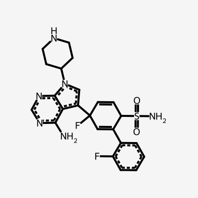 Nc1ncnc2c1c(C1(F)C=CC(S(N)(=O)=O)C(c3ccccc3F)=C1)cn2C1CCNCC1